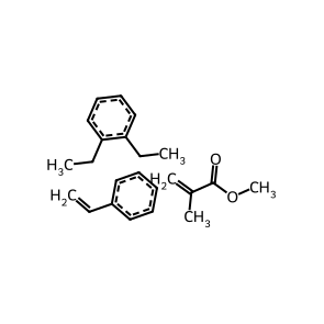 C=C(C)C(=O)OC.C=Cc1ccccc1.CCc1ccccc1CC